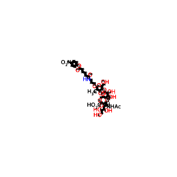 CC(=O)N[C@H]1C(C(O)C(O)CO)O[C@@]2(C(=O)O)C[C@H]1O[C@H]1C(CO2)O[C@@H](O[C@@H]2C(CO)O[C@@H](OCCCNC(=O)CCCCC(=O)Oc3ccc([N+](=O)[O-])cc3)[C@@H](C)C2O)[C@@H](O)C1O